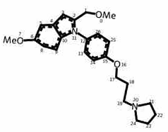 COCc1cc2cc(OC)ccc2n1-c1ccc(OCCCN2CCCC2)cc1